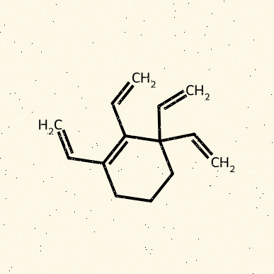 C=CC1=C(C=C)C(C=C)(C=C)CCC1